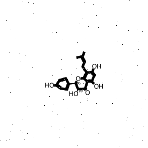 CC(C)=CCc1c(O)cc(O)c2c1O[C@H](c1ccc(O)cc1)[C@@H](O)C2=O